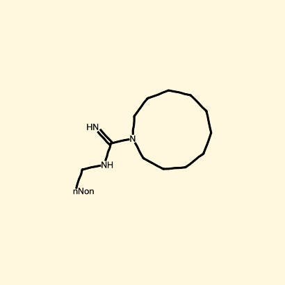 CCCCCCCCCCNC(=N)N1CCCCCCCCCC1